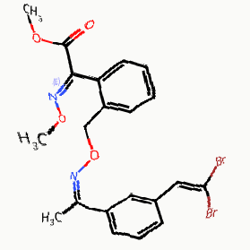 CO/N=C(/C(=O)OC)c1ccccc1CON=C(C)c1cccc(C=C(Br)Br)c1